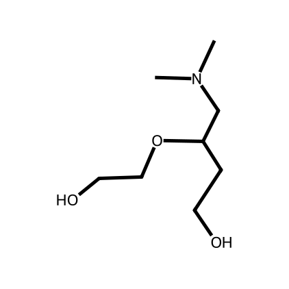 CN(C)CC(CCO)OCCO